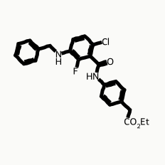 CCOC(=O)Cc1ccc(NC(=O)c2c(Cl)ccc(NCc3ccccc3)c2F)cc1